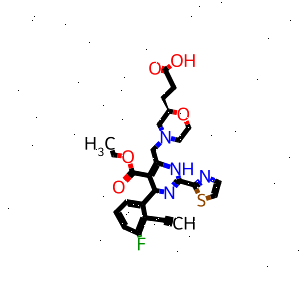 C#Cc1c(F)cccc1C1N=C(c2nccs2)NC(CN2CCO[C@H](CCC(=O)O)C2)=C1C(=O)OCC